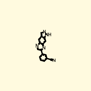 N#Cc1cccc(-c2cnc3cc4cn[nH]c4cc3n2)c1